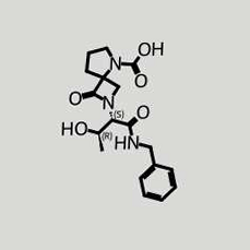 C[C@@H](O)[C@@H](C(=O)NCc1ccccc1)N1CC2(CCCN2C(=O)O)C1=O